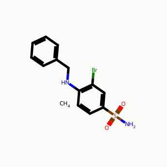 C.NS(=O)(=O)c1ccc(NCc2ccccc2)c(Br)c1